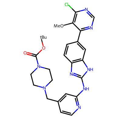 COc1c(Cl)ncnc1-c1ccc2nc(Nc3cc(CN4CCN(C(=O)OC(C)(C)C)CC4)ccn3)[nH]c2c1